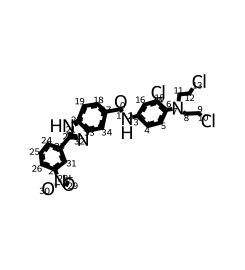 O=C(Nc1ccc(N(CCCl)CCCl)c(Cl)c1)c1ccc2[nH]c(-c3cccc([N+](=O)[O-])c3)nc2c1